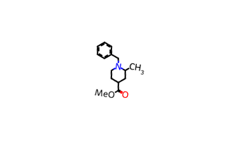 COC(=O)C1CCN(Cc2ccccc2)C(C)C1